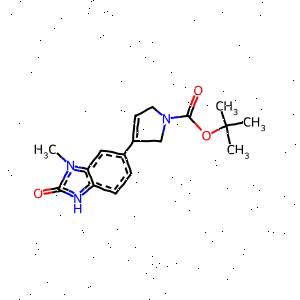 Cn1c(=O)[nH]c2ccc(C3=CCN(C(=O)OC(C)(C)C)C3)cc21